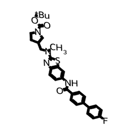 CN(CC1CCN(C(=O)OC(C)(C)C)C1)c1nc2ccc(NC(=O)c3ccc(-c4ccc(F)cc4)cc3)cc2s1